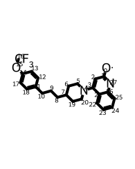 [O]c1cc(N2CCC(CCCc3ccc(OC(F)(F)F)cc3)CC2)c2ccccc2n1